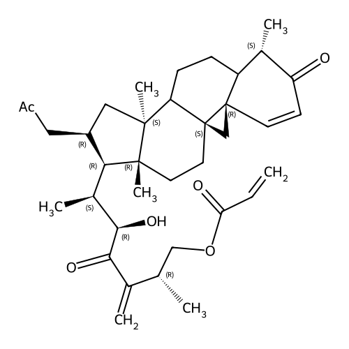 C=CC(=O)OC[C@H](C)C(=C)C(=O)[C@H](O)[C@@H](C)[C@H]1[C@@H](CC(C)=O)C[C@@]2(C)C3CCC4[C@H](C)C(=O)C=C[C@@]45C[C@@]35CC[C@]12C